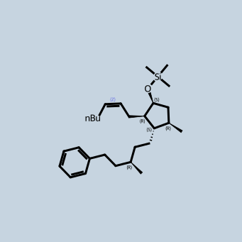 CCCC/C=C\C[C@@H]1[C@@H](CC[C@@H](C)CCc2ccccc2)[C@H](C)C[C@@H]1O[Si](C)(C)C